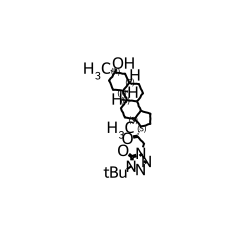 CC(C)(C)n1nnn(CC(=O)[C@H]2CCC3C4CC[C@@H]5C[C@](C)(O)CC[C@H]5[C@H]4CC[C@@]32C)c1=O